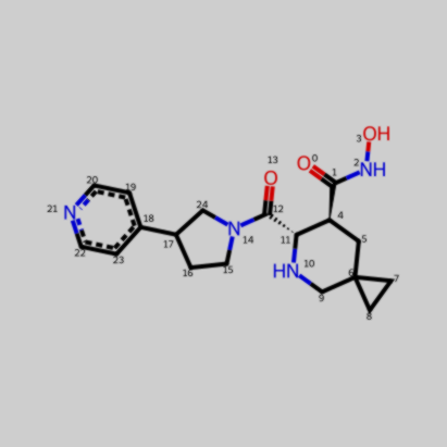 O=C(NO)[C@H]1CC2(CC2)CN[C@@H]1C(=O)N1CCC(c2ccncc2)C1